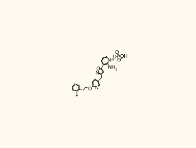 Nc1c(-c2cc(Cc3ccc(OCCc4ccccc4F)nc3)no2)ccc[n+]1COP(=O)([O-])O